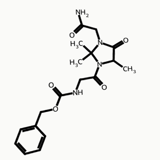 CC1C(=O)N(CC(N)=O)C(C)(C)N1C(=O)CNC(=O)OCc1ccccc1